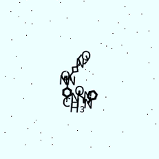 Cc1ccc(-c2noc(C3CC(N4CCOCC4)C3)n2)cc1NC(=O)c1cnc2ccccn12